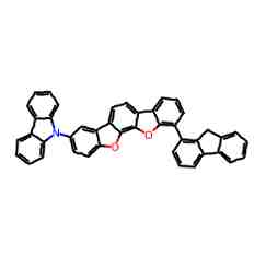 c1ccc2c(c1)Cc1c-2cccc1-c1cccc2c1oc1c2ccc2c3cc(-n4c5ccccc5c5ccccc54)ccc3oc21